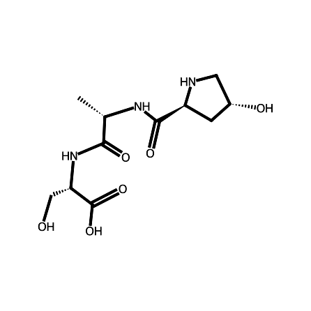 C[C@H](NC(=O)[C@@H]1C[C@@H](O)CN1)C(=O)N[C@@H](CO)C(=O)O